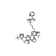 CC(C)[C@H](NC(=O)[C@@H]1CCCN1C(=O)[C@@H](NC(=O)CCCCC(C)(C)NC(=O)c1ccccn1)C(C)C)C(=O)c1nnc(C(C)(C)C)o1